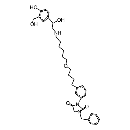 O=C1CN(Cc2ccccc2)C(=O)N1c1cccc(CCCCOCCCCCCNC[C@H](O)c2ccc(O)c(CO)c2)c1